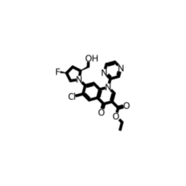 CCOC(=O)c1cn(-c2cnccn2)c2cc(N3C[C@@H](F)C[C@H]3CO)c(Cl)cc2c1=O